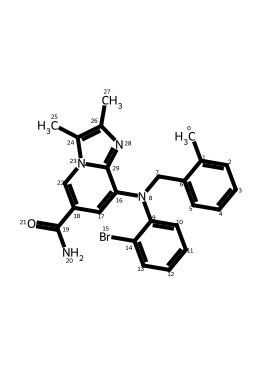 Cc1ccccc1CN(c1ccccc1Br)c1cc(C(N)=O)cn2c(C)c(C)nc12